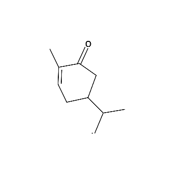 [CH2]C(C)C1CC=C(C)C(=O)C1